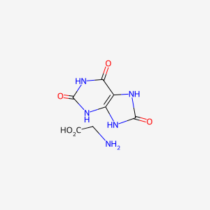 NCC(=O)O.O=c1[nH]c(=O)c2[nH]c(=O)[nH]c2[nH]1